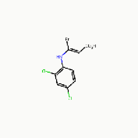 CCC(=CC(=O)O)Nc1ccc(Cl)cc1Cl